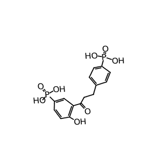 O=C(CCc1ccc(P(=O)(O)O)cc1)c1cc(P(=O)(O)O)ccc1O